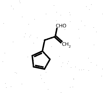 C=C(C=O)CC1=CC=CC1